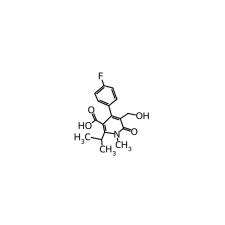 CC(C)c1c(C(=O)O)c(-c2ccc(F)cc2)c(CO)c(=O)n1C